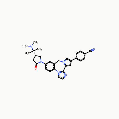 CN(C)C(C)(C)[C@H]1CC(=O)N(c2ccc3c(c2)Cn2cc(-c4ccc(C#N)cc4)cc2-c2nccn2-3)C1